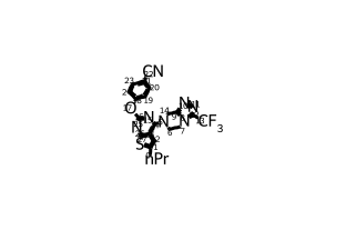 CCCc1cc2c(N3CCn4c(nnc4C(F)(F)F)C3)nc(Oc3ccc(C#N)cc3)nc2s1